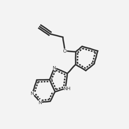 C#CCOc1ccccc1-c1nc2cnncc2[nH]1